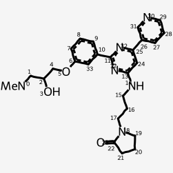 CNCC(O)COc1cccc(-c2nc(NCCCN3CCCC3=O)cc(-c3cccnc3)n2)c1